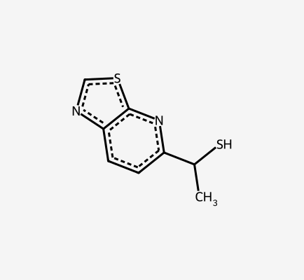 CC(S)c1ccc2ncsc2n1